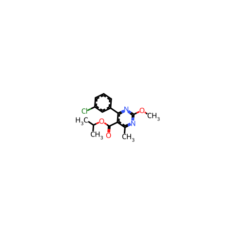 COc1nc(C)c(C(=O)OC(C)C)c(-c2cccc(Cl)c2)n1